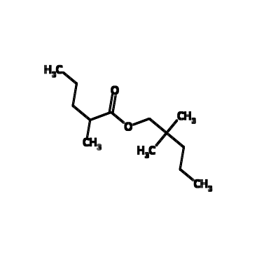 CCCC(C)C(=O)OCC(C)(C)CCC